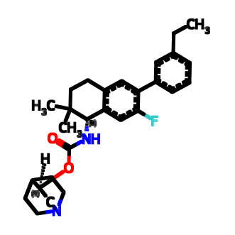 CCc1cccc(-c2cc3c(cc2F)[C@H](NC(=O)O[C@H]2CN4CCC2CC4)C(C)(C)CC3)c1